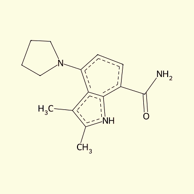 Cc1[nH]c2c(C(N)=O)ccc(N3CCCC3)c2c1C